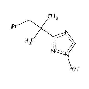 CCCn1cnc(C(C)(C)CC(C)C)n1